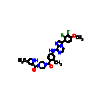 COc1ccc(-c2cnc3c(Nc4ccc(C(=O)N5CCN(C(=O)[C@@H]6C[C@H](C)CN6)CC5)c(C)c4)nccn23)c(F)c1F